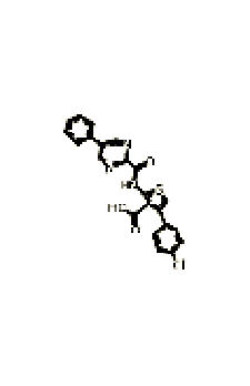 O=C(Nc1scc(-c2ccc(Cl)cc2)c1C(=O)O)c1ncc(-c2ccccc2)cn1